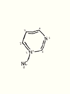 N#C[n+]1cccnc1